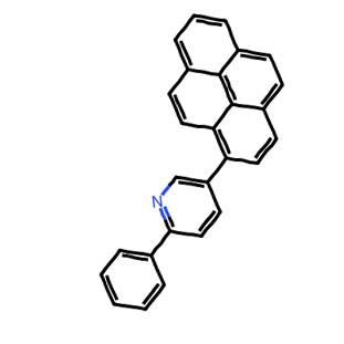 c1ccc(-c2ccc(-c3ccc4ccc5cccc6ccc3c4c56)cn2)cc1